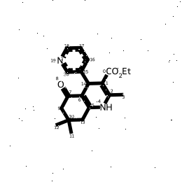 CCOC(=O)C1=C(C)NC2=C(C(=O)CC(C)(C)C2)C1c1cccnc1